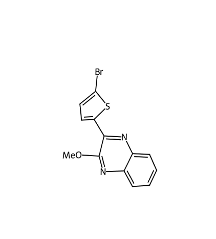 COc1nc2ccccc2nc1-c1ccc(Br)s1